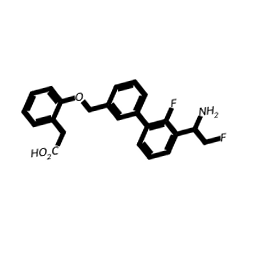 NC(CF)c1cccc(-c2cccc(COc3ccccc3CC(=O)O)c2)c1F